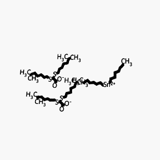 CC(C)CCCCCSC(SCCCCCC(C)C)C(=O)[O-].CC(C)CCCCCSC(SCCCCCC(C)C)C(=O)[O-].CCCCCCC[CH2][Sn+2][CH2]CCCCCCC